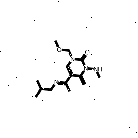 C=C1C(/C(C)=N/CC(C)C)=CN(COC)C(=O)N1NC